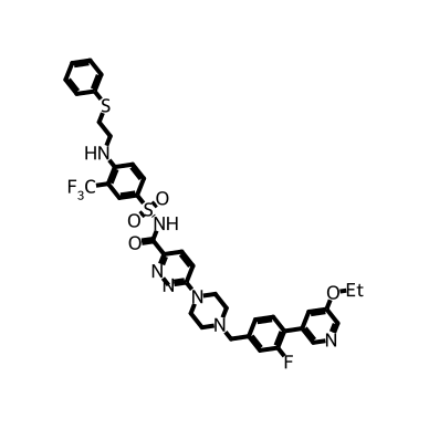 CCOc1cncc(-c2ccc(CN3CCN(c4ccc(C(=O)NS(=O)(=O)c5ccc(NCCSc6ccccc6)c(C(F)(F)F)c5)nn4)CC3)cc2F)c1